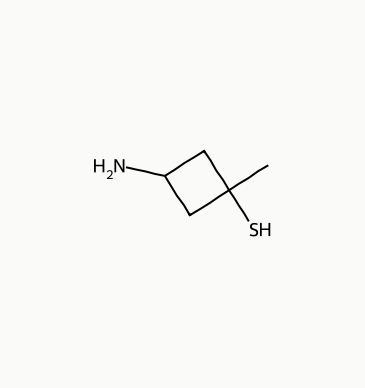 CC1(S)CC(N)C1